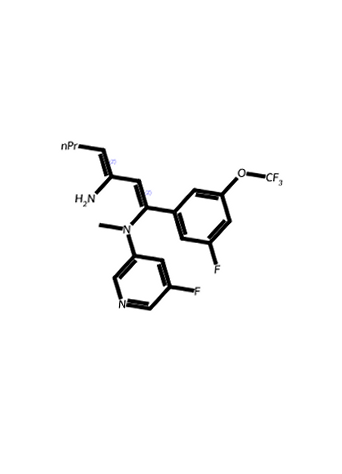 CCC/C=C(N)/C=C(/c1cc(F)cc(OC(F)(F)F)c1)N(C)c1cncc(F)c1